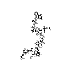 CC(C)[C@H](NCCNC(=O)OCC1c2ccccc2-c2ccccc21)C(=O)N[C@@H](CCCNC(N)=O)C(=O)Nc1ccc(COC(=O)N(C)c2ccccc2N(C)C(=O)Oc2cc3c(c4ccccc24)[C@H](CCl)CN3C(=O)c2cc3cc(OCCN(C)C)ccc3o2)cc1